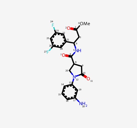 COC(=O)CC(NC(=O)C1CC(=O)N(c2cccc(N)c2)C1)c1cc(F)cc(F)c1